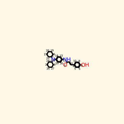 O=C(C=Cc1ccc(O)cc1)Nc1ccc(N(C2CCCCC2)C2CCCCC2)cc1